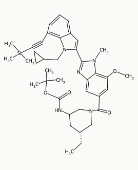 CC[C@@H]1CC(NC(=O)OC(C)(C)C)CN(C(=O)c2cc(OC)c3c(c2)nc(-c2cc4cccc(C#C[Si](C)(C)C)c4n2CC2CC2)n3C)C1